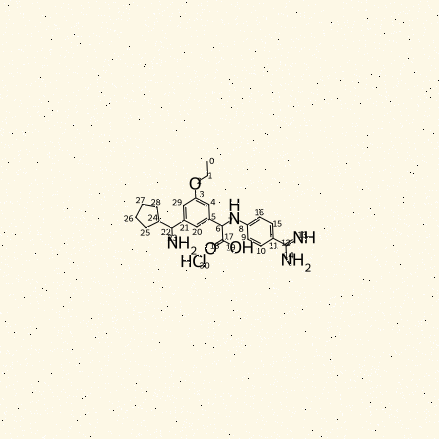 CCOc1cc(C(Nc2ccc(C(=N)N)cc2)C(=O)O)cc(C(N)C2CCCC2)c1.Cl